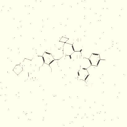 COC[C@@H]1CCCN1CCOc1ccc(CN2C(=O)C(C(=O)Nc3ccc(C(F)(F)F)cc3-c3cc(C(F)(F)F)ncn3)=C(O)C3(CCC3)N2C)c(F)c1F